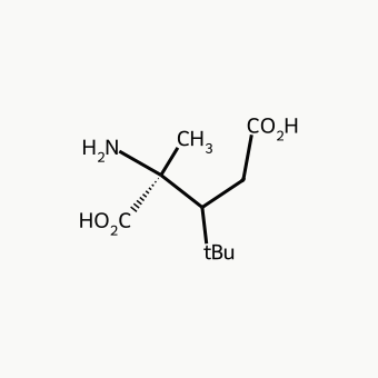 CC(C)(C)C(CC(=O)O)[C@](C)(N)C(=O)O